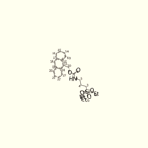 CCO[Si](CCCNC(=O)OCc1c2ccccc2cc2ccccc12)(OCC)OCC